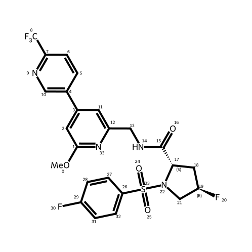 COc1cc(-c2ccc(C(F)(F)F)nc2)cc(CNC(=O)[C@@H]2C[C@@H](F)CN2S(=O)(=O)c2ccc(F)cc2)n1